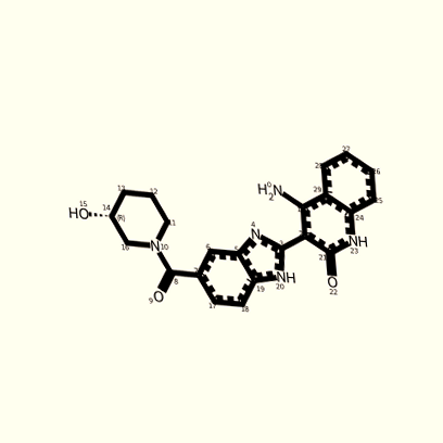 Nc1c(-c2nc3cc(C(=O)N4CCC[C@@H](O)C4)ccc3[nH]2)c(=O)[nH]c2ccccc12